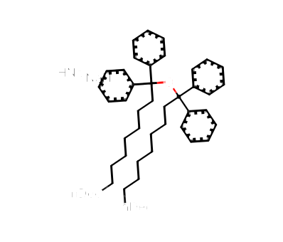 CCCCCCCCCCCCCCCCCC(OC(CCCCCCCCCCCCCCCCC)(c1ccccc1)c1ccccc1)(c1ccccc1)c1ccccc1.[NaH].[NaH]